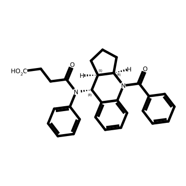 O=C(O)CCC(=O)N(c1ccccc1)[C@H]1c2ccccc2N(C(=O)c2ccccc2)[C@@H]2CCC[C@@H]21